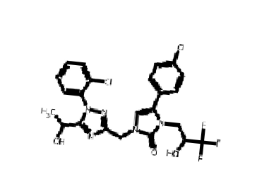 CC(O)c1nc(Cn2cc(-c3ccc(Cl)cc3)n(CC(O)C(F)(F)F)c2=O)nn1-c1ccccc1Cl